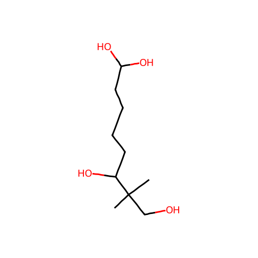 CC(C)(CO)C(O)CCCCC(O)O